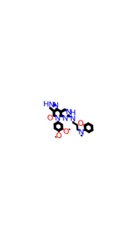 COc1ccc(-n2c(=O)c3c[nH]nc3c3cnc(NCC4CN(C)c5ccccc5O4)nc32)cc1OC